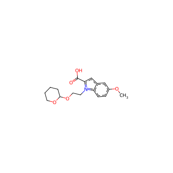 COc1ccc2c(c1)cc(C(=O)O)n2CCOC1CCCCO1